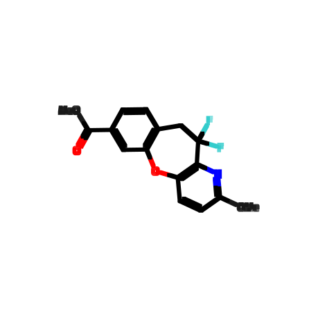 COC(=O)c1ccc2c(c1)Oc1ccc(OC)nc1C(F)(F)C2